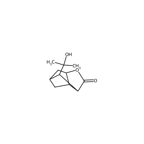 CC(C)(O)C1C2CC3OC(=O)C1C3C2